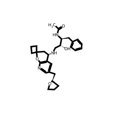 CC(=O)N[C@@H](Cc1ccccc1)[C@H](O)CN[C@H]1CC2(CCC2)Oc2ncc(C[C@H]3CCCO3)cc21